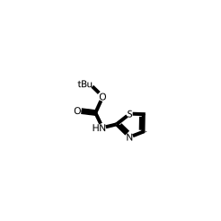 CC(C)(C)OC(=O)Nc1n[c]cs1